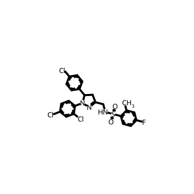 Cc1cc(F)ccc1S(=O)(=O)NCC1=NN(c2ccc(Cl)cc2Cl)C(c2ccc(Cl)cc2)C1